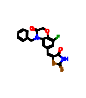 O=C1NC(=S)S/C1=C/c1cc(F)c2c(c1)N(Cc1ccccc1)C(=O)CO2